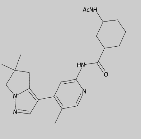 CC(=O)NC1CCCC(C(=O)Nc2cc(-c3cnn4c3CC(C)(C)C4)c(C)cn2)C1